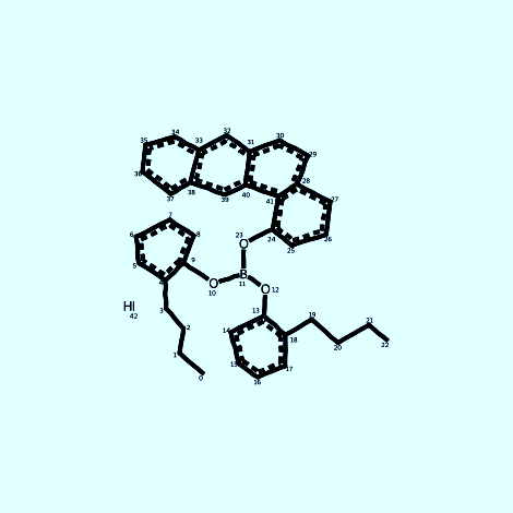 CCCCc1ccccc1OB(Oc1ccccc1CCCC)Oc1cccc2ccc3cc4ccccc4cc3c12.I